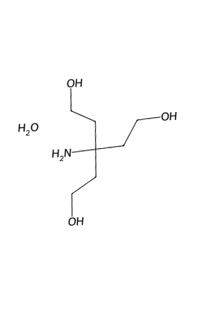 NC(CCO)(CCO)CCO.O